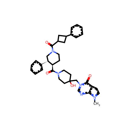 Cn1ccc2c(=O)n(CC3(O)CCN(C(=O)[C@@H]4CCN(C(=O)C5CC(c6ccccc6)C5)C[C@H]4c4ccccc4)CC3)cnc21